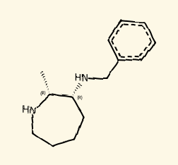 C[C@H]1NCCCC[C@H]1NCc1ccccc1